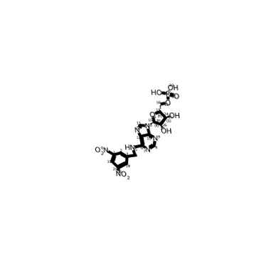 O=[N+]([O-])c1cc(CNc2ncnc3c2ncn3[C@@H]2O[C@H](COP(=O)(O)O)[C@@H](O)[C@H]2O)cc([N+](=O)[O-])c1